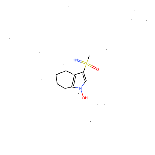 CS(=N)(=O)c1cn(O)c2c1CCCC2